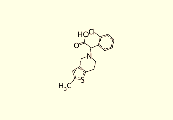 Cc1cc2c(s1)CCN(C(C(=O)O)c1ccccc1Cl)C2